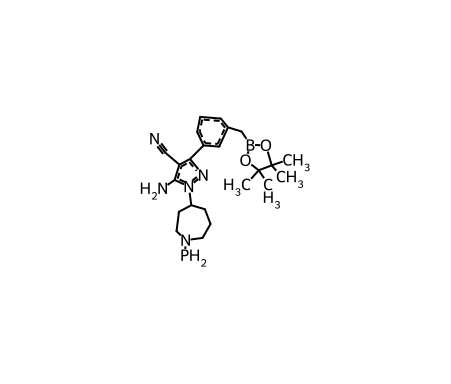 CC1(C)OB(Cc2cccc(-c3nn(C4CCCN(P)CC4)c(N)c3C#N)c2)OC1(C)C